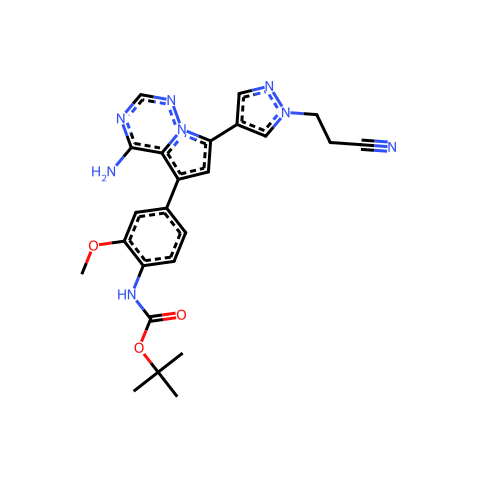 COc1cc(-c2cc(-c3cnn(CCC#N)c3)n3ncnc(N)c23)ccc1NC(=O)OC(C)(C)C